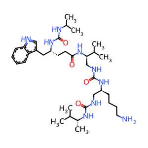 CC(C)NC(=O)N[C@H](CCC(=O)N[C@H](CNC(=O)N[C@@H](CCCCN)CNC(=O)N[C@H](C)C(C)C)C(C)C)Cc1c[nH]c2ccccc12